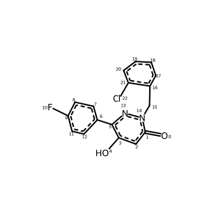 O=c1cc(O)c(-c2ccc(F)cc2)nn1Cc1ccccc1Cl